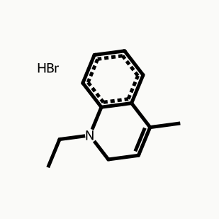 Br.CCN1CC=C(C)c2ccccc21